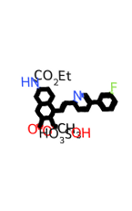 CCOC(=O)NC1CCC2C(C1)CC1C(=O)OC(C)C1C2C=Cc1ccc(-c2cccc(F)c2)cn1.O=S(=O)(O)O